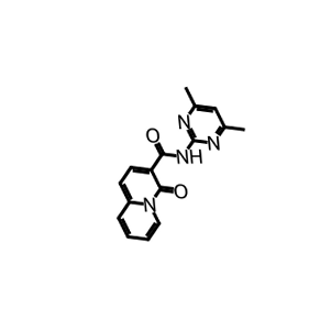 Cc1cc(C)nc(NC(=O)c2ccc3ccccn3c2=O)n1